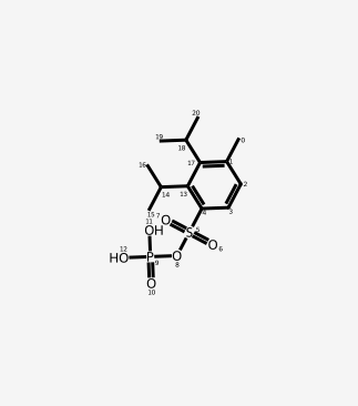 Cc1ccc(S(=O)(=O)OP(=O)(O)O)c(C(C)C)c1C(C)C